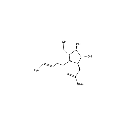 CNC(=O)C[C@@H]1[C@@H](O)[C@H](O)[C@@H](CO)N1CCC=CC(F)(F)F